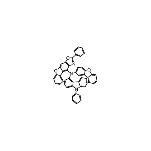 c1ccc(-c2nc3c(N(c4ccc5oc6ccccc6c5c4)c4cccc5c4c4ccccc4n5-c4ccccc4)c4c(cc3o2)oc2ccccc24)cc1